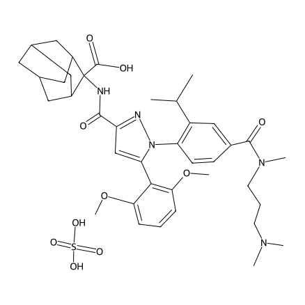 COc1cccc(OC)c1-c1cc(C(=O)NC2(C(=O)O)C3CC4CC(C3)CC2C4)nn1-c1ccc(C(=O)N(C)CCCN(C)C)cc1C(C)C.O=S(=O)(O)O